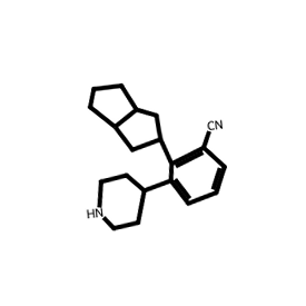 N#Cc1cccc(C2CCNCC2)c1C1CC2CCCC2C1